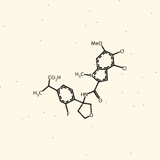 COc1cc2c(cc(C(=O)NC3(c4ccc(C(C)C(=O)O)cc4F)CCOC3)n2C)c(Cl)c1Cl